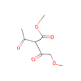 COCC(=O)C(C(C)=O)C(=O)OC